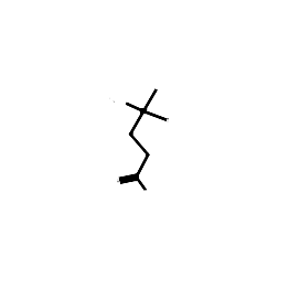 CCC(=O)CCC(C)(C#N)CC